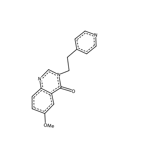 COc1ccc2ncn(CCc3ccncc3)c(=O)c2c1